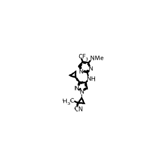 CNc1nc(Nc2cn([C@@H]3CC3(C)C#N)nc2C2CC2)ncc1C(F)(F)F